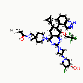 C=CC(=O)N1CC2(CCN(c3nc(N4CC(N5C[C@@H](O)[C@@H](F)C5)C4)nc4c(OCC(F)(F)F)c(-c5c(C)ccc6[nH]ncc56)c(C5CC5)cc34)CC2)C1